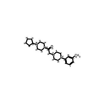 Cc1cccc(N2CCN(CC(=O)N3CCN(C4CCCC4)CC3)CC2)c1